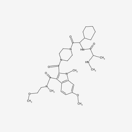 CNC(C)C(=O)NC(C(=O)N1CCN(C(=O)c2c(C(=O)N(C)CCOC)c3ccc(OC)cc3n2C)CC1)C1CCCCC1